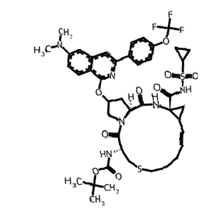 CN(C)c1ccc2c(OC3C[C@H]4C(=O)N[C@]5(C(=O)NS(=O)(=O)C6CC6)CC5/C=C\CCCSC[C@H](NC(=O)OC(C)(C)C)C(=O)N4C3)nc(-c3ccc(OC(F)(F)F)cc3)cc2c1